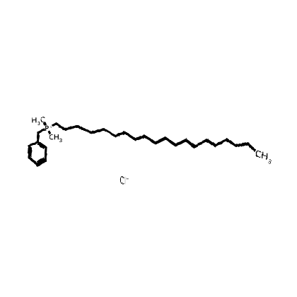 CCCCCCCCCCCCCCCCCCCC[P+](C)(C)Cc1ccccc1.[Cl-]